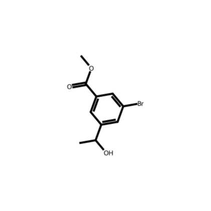 COC(=O)c1cc(Br)cc(C(C)O)c1